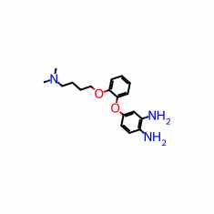 CN(C)CCCCOc1ccccc1Oc1ccc(N)c(N)c1